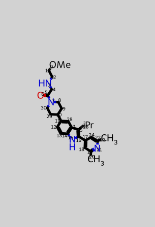 COCCNCC(=O)N1CCC(c2ccc3[nH]c(-c4cc(C)nc(C)c4)c(C(C)C)c3c2)CC1